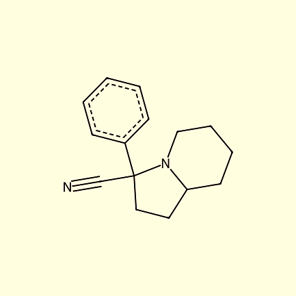 N#CC1(c2ccccc2)CCC2CCCCN21